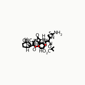 CC(C)(O/N=C(\C(=O)N[C@@H]1C(=O)N2C(C=O)=C(C[N@+]3(C)[C@@H]4CC[C@H]3C[C@@H](NC(=O)c3cccc(O)c3O)C4)CS[C@H]12)c1csc(N)n1)C(=O)O